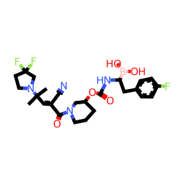 CC(C)(C=C(C#N)C(=O)N1CCCC(OC(=O)NC(Cc2ccc(F)cc2)B(O)O)C1)N1CCC(F)(F)C1